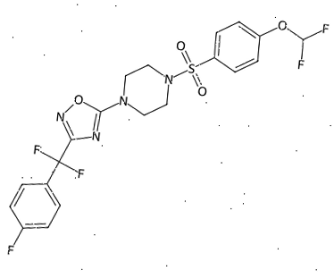 O=S(=O)(c1ccc(OC(F)F)cc1)N1CCN(c2nc(C(F)(F)c3ccc(F)cc3)no2)CC1